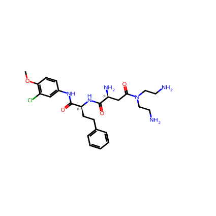 COc1ccc(NC(=O)[C@H](CCc2ccccc2)NC(=O)[C@@H](N)CC(=O)N(CCN)CCN)cc1Cl